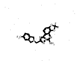 Nc1nc2c3c(ccc2c2nc(CN4Cc5ccc(C(F)(F)F)cc5C4)nn12)OC(F)(F)O3